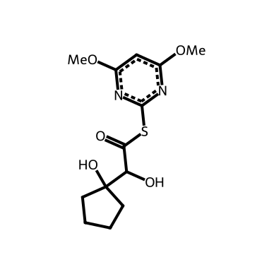 COc1cc(OC)nc(SC(=O)C(O)C2(O)CCCC2)n1